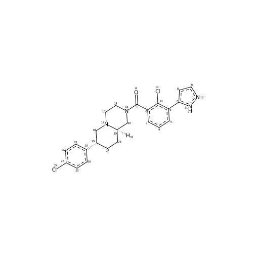 O=C(c1cccc(-c2ccn[nH]2)c1Cl)N1CCN2C[C@@H](c3ccc(Cl)cc3)CC[C@@H]2C1